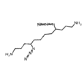 [N-]=[N+]=NC(CCCN)CCCCC(CCCN)N=[N+]=[N-]